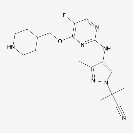 Cc1nn(C(C)(C)C#N)cc1Nc1ncc(F)c(OCC2CCNCC2)n1